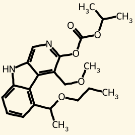 CCCOC(C)c1cccc2[nH]c3cnc(OC(=O)OC(C)C)c(COC)c3c12